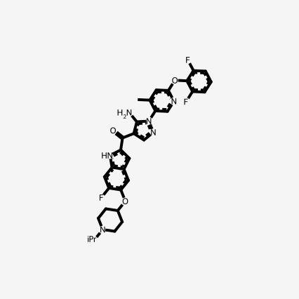 Cc1cc(Oc2c(F)cccc2F)ncc1-n1ncc(C(=O)c2cc3cc(OC4CCN(C(C)C)CC4)c(F)cc3[nH]2)c1N